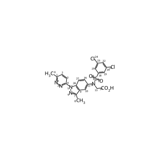 Cc1ccc(-n2nc(C)c3cc(N(CC(=O)O)S(=O)(=O)c4cc(Cl)cc(Cl)c4)ccc32)nn1